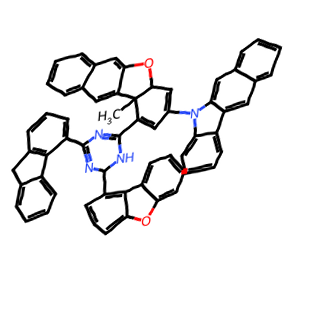 CC12C(C3=NC(c4cccc5c4-c4ccccc4C5)=NC(c4cccc5oc6ccccc6c45)N3)=CC(n3c4ccccc4c4cc5ccccc5cc43)=CC1Oc1cc3ccccc3cc12